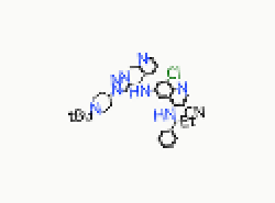 CCC(Nc1c(C#N)cnc2c(Cl)cc(NC(c3cn(C4CCN(C(C)(C)C)CC4)nn3)c3cccnc3C)cc12)c1ccccc1